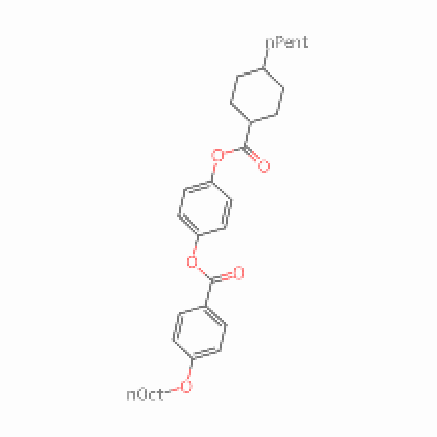 CCCCCCCCOc1ccc(C(=O)Oc2ccc(OC(=O)C3CCC(CCCCC)CC3)cc2)cc1